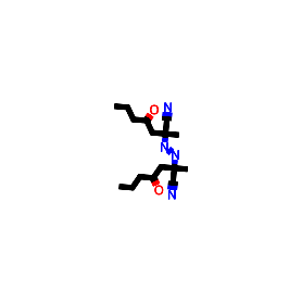 CCCC(=O)CC(C)(C#N)N=NC(C)(C#N)CC(=O)CCC